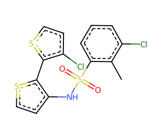 Cc1c(Cl)cccc1S(=O)(=O)Nc1ccsc1-c1sccc1Cl